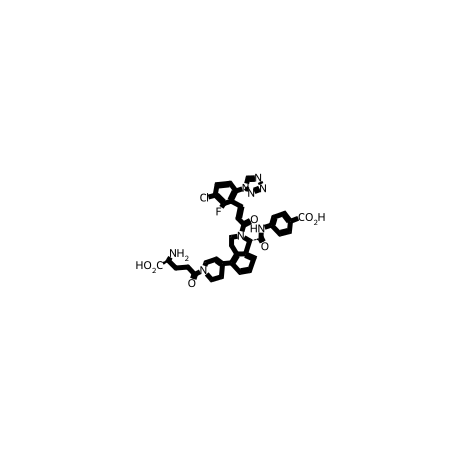 N[C@@H](CCC(=O)N1CC=C(c2cccc3c2CCN(C(=O)/C=C/c2c(-n4cnnn4)ccc(Cl)c2F)[C@@H]3C(=O)Nc2ccc(C(=O)O)cc2)CC1)C(=O)O